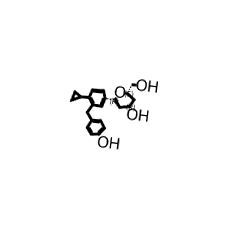 OC[C@@H]1C[C@H](O)C[C@H](c2ccc(C3CC3)c(Cc3ccc(O)cc3)c2)O1